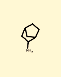 NC1C[C]2CCC1C2